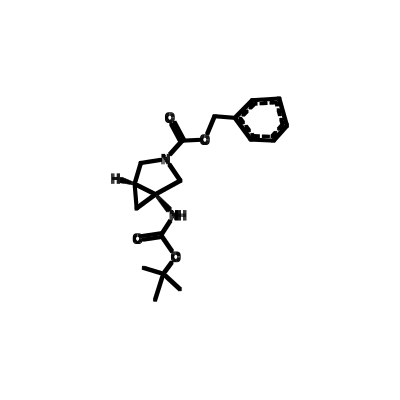 CC(C)(C)OC(=O)N[C@@]12C[C@@H]1CN(C(=O)OCc1ccccc1)C2